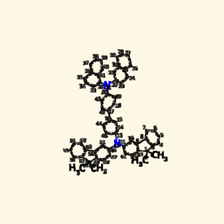 CC1(C)c2ccccc2-c2cc(N(c3ccc(-c4ccc(N(c5ccc6ccccc6c5)c5cccc6ccccc56)cc4)cc3)c3ccc4c(c3)-c3ccccc3C4(C)C)ccc21